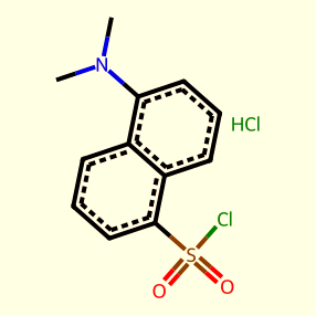 CN(C)c1cccc2c(S(=O)(=O)Cl)cccc12.Cl